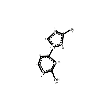 CC(C)c1ncn(-c2ccnc(O)n2)n1